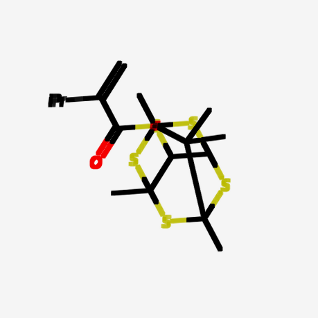 C=C(C(=O)SC1C2SC3(C)SC1(C)SC(C)(S2)C3(C)C)C(C)C